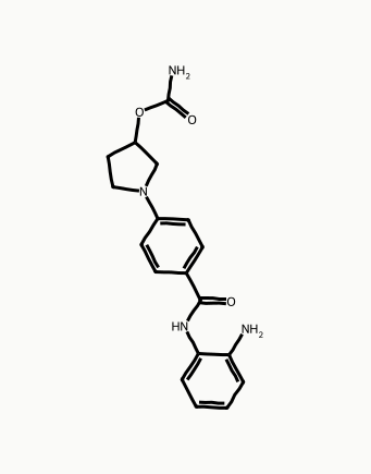 NC(=O)OC1CCN(c2ccc(C(=O)Nc3ccccc3N)cc2)C1